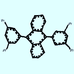 CC(C)c1cc(-c2c3ccccc3c(-c3cc(C(C)C)cc(C(C)C)c3)c3ccccc23)cc(C(C)C)c1